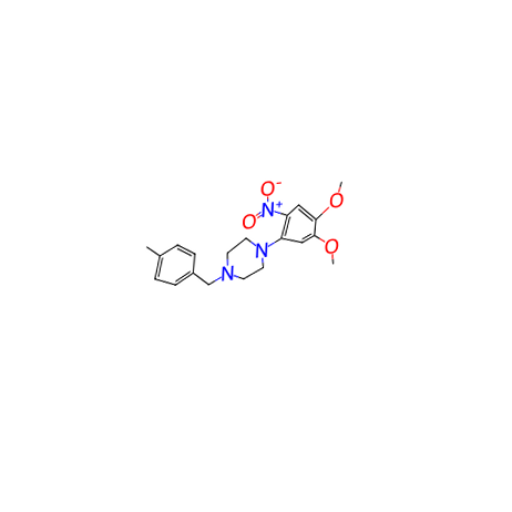 COc1cc(N2CCN(Cc3ccc(C)cc3)CC2)c([N+](=O)[O-])cc1OC